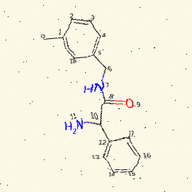 Cc1cccc(CNC(=O)C(N)c2ccccc2)c1